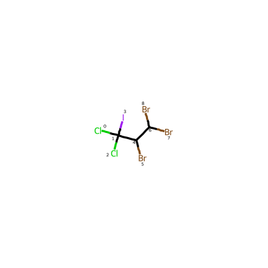 ClC(Cl)(I)C(Br)C(Br)Br